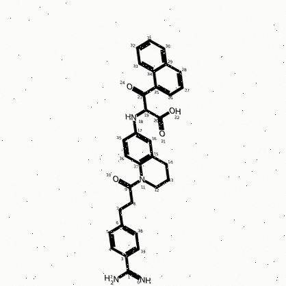 N=C(N)c1ccc(CCC(=O)N2CCCc3cc(NC(C(=O)O)C(=O)c4cccc5ccccc45)ccc32)cc1